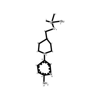 CC(C)(C)[Si](C)(C)OCC1CCN(c2ccc(N)nc2)CC1